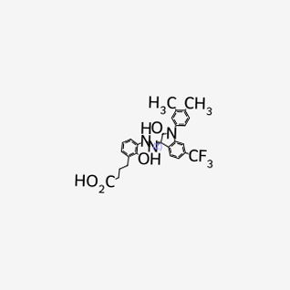 Cc1ccc(N2C(=O)/C(=N\Nc3cccc(CCCC(=O)O)c3O)c3ccc(C(F)(F)F)cc32)cc1C